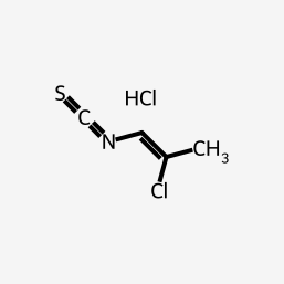 CC(Cl)=CN=C=S.Cl